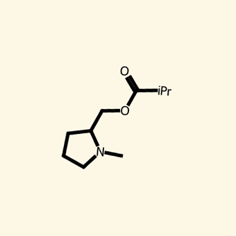 CC(C)C(=O)OCC1CCCN1C